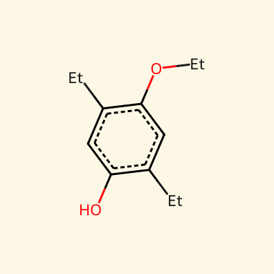 CCOc1cc(CC)c(O)cc1CC